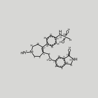 CCCN1CCC(COc2ccc3c(c2)C(=O)NC3)=C(c2ccc(NS(C)(=O)=O)cc2)CC1